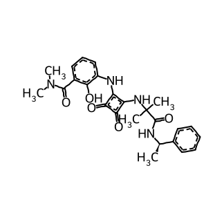 C[C@@H](NC(=O)C(C)(C)Nc1c(Nc2cccc(C(=O)N(C)C)c2O)c(=O)c1=O)c1ccccc1